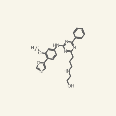 COc1cc(Nc2nc(CCCNCCO)nc(-c3ccccc3)n2)ccc1-c1cnco1